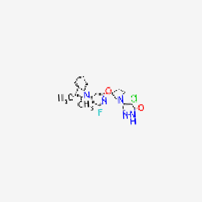 Cc1c(C)n(-c2cc(F)nc(O[C@@H]3CCN(c4cn[nH]c(=O)c4Cl)C3)c2)c2ccccc12